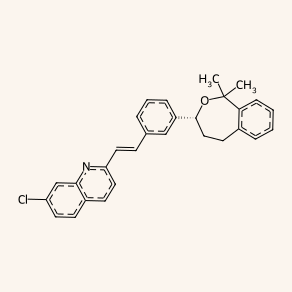 CC1(C)O[C@@H](c2cccc(/C=C/c3ccc4ccc(Cl)cc4n3)c2)CCc2ccccc21